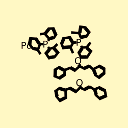 Cc1ccccc1P(c1ccccc1C)c1ccccc1C.Cc1ccccc1P(c1ccccc1C)c1ccccc1C.O=C(C=Cc1ccccc1)C=Cc1ccccc1.O=C(C=Cc1ccccc1)C=Cc1ccccc1.[Pd]